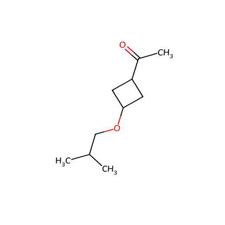 CC(=O)C1CC(OCC(C)C)C1